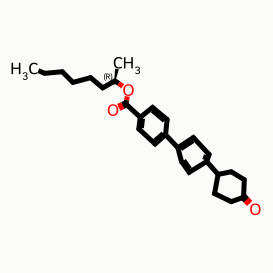 CCCCCC[C@@H](C)OC(=O)c1ccc(-c2ccc(C3CCC(=O)CC3)cc2)cc1